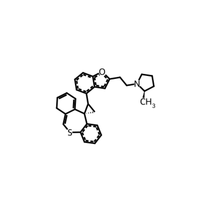 C[C@@H]1CCCN1CCc1cc2c(C3C[C@]34C3=CC=CCC3=CSc3ccccc34)cccc2o1